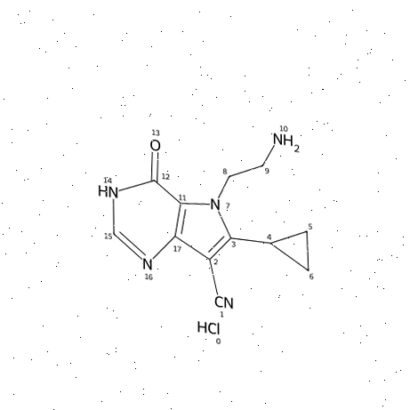 Cl.N#Cc1c(C2CC2)n(CCN)c2c(=O)[nH]cnc12